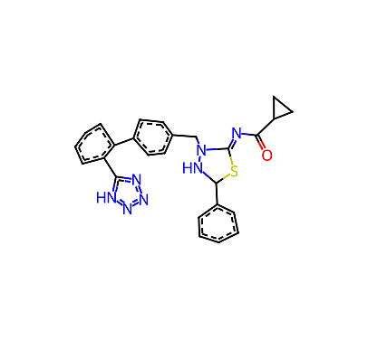 O=C(N=C1SC(c2ccccc2)NN1Cc1ccc(-c2ccccc2-c2nnn[nH]2)cc1)C1CC1